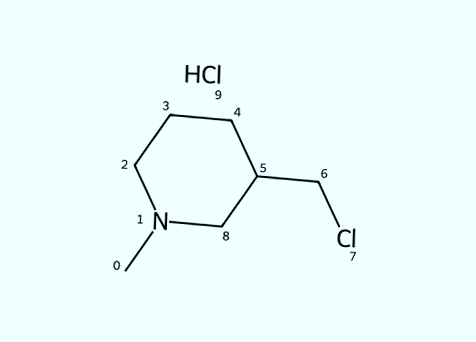 CN1CCCC(CCl)C1.Cl